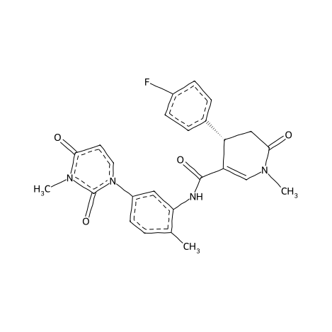 Cc1ccc(-n2ccc(=O)n(C)c2=O)cc1NC(=O)C1=CN(C)C(=O)C[C@H]1c1ccc(F)cc1